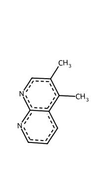 Cc1cnc2ncccc2c1C